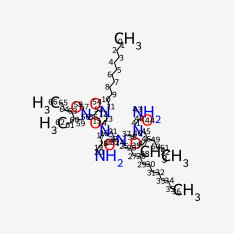 CCCCCCCCCCCCN(CC(=O)N(CCCN)CC(=O)N(CCCCCCCCCCCC)CC(=O)N(CC(N)=O)CC(CC)CCCC)C(=O)CN(C=O)CC(CC)CCCC